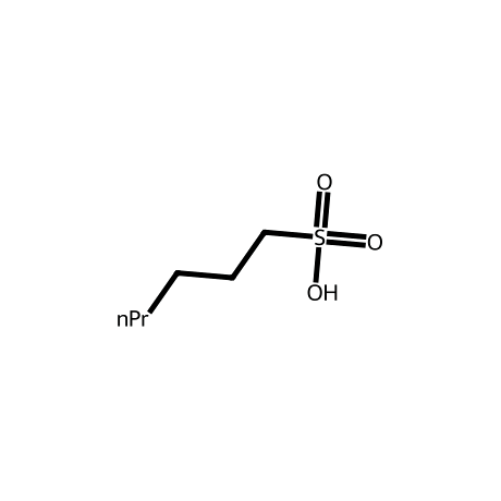 C[CH]CCCCS(=O)(=O)O